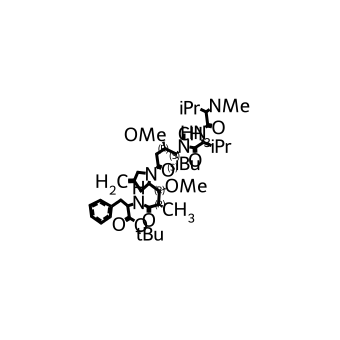 C=C1CC([C@H](OC)[C@@H](C)C(=O)NC(Cc2ccccc2)C(=O)OC(C)(C)C)N(C(=O)C[C@@H](OC)[C@H]([C@@H](C)CC)N(C)C(=O)C(NC(=O)C(NC)C(C)C)C(C)C)C1